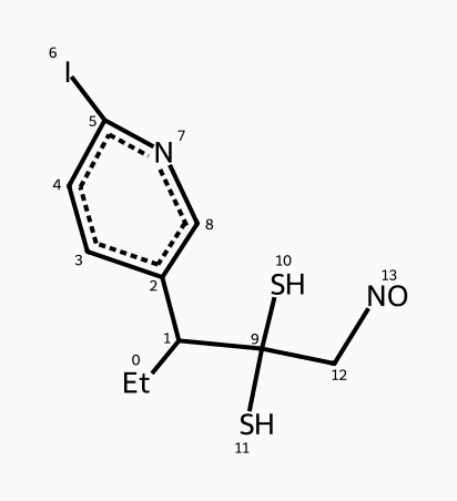 CCC(c1ccc(I)nc1)C(S)(S)CN=O